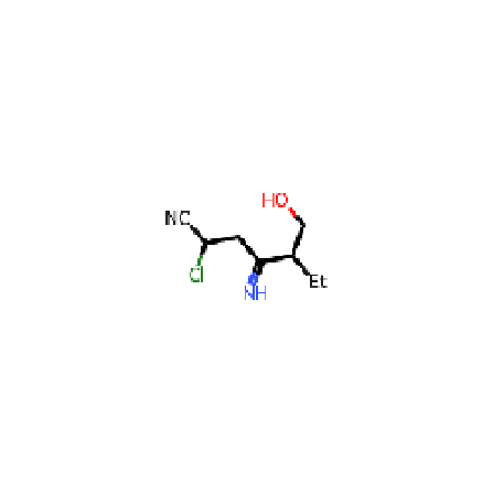 CCC(CO)C(=N)CC(Cl)C#N